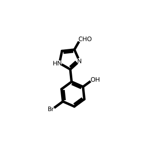 O=Cc1c[nH]c(-c2cc(Br)ccc2O)n1